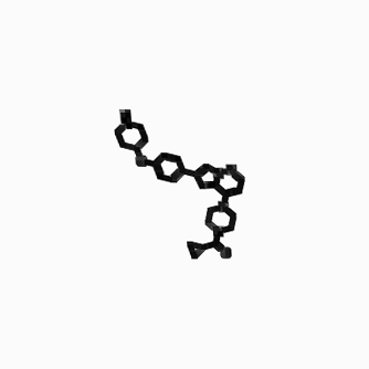 O=C(C1CC1)N1CCN(c2ccnn3cc(-c4ccc(OC5CCNCC5)cc4)cc23)CC1